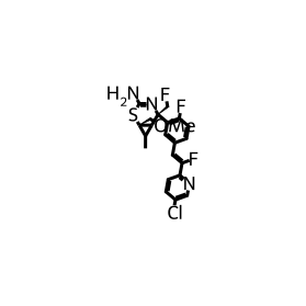 COC[C@@]12SC(N)=N[C@](CF)(c3cc(/C=C(\F)c4ccc(Cl)cn4)ccc3F)C1C2C